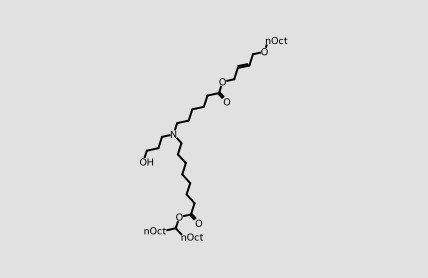 CCCCCCCCOCC=CCOC(=O)CCCCCN(CCCO)CCCCCCCC(=O)OC(CCCCCCCC)CCCCCCCC